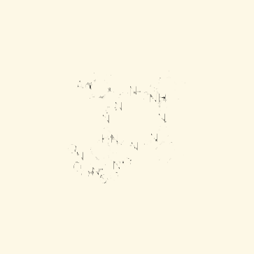 O=[N+]([O-])c1cc2c3nc4nc(nc5[nH]c(nc6nc(nc([nH]3)c2c([N+](=O)[O-])c1[N+](=O)[O-])-c1ccccc1-6)c1ccccc51)-c1ccccc1-4.[Ag+]